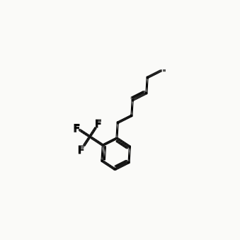 [CH2]CC=CCCc1ccccc1C(F)(F)F